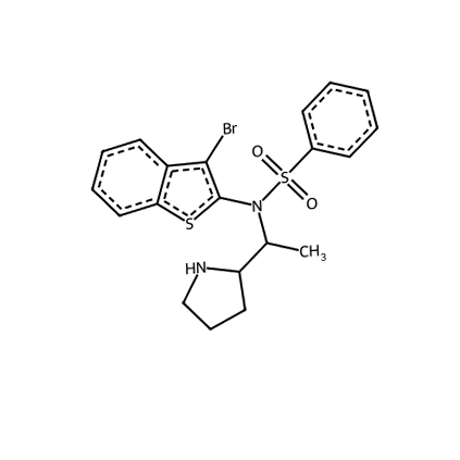 CC(C1CCCN1)N(c1sc2ccccc2c1Br)S(=O)(=O)c1ccccc1